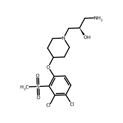 CS(=O)(=O)c1c(OC2CCN(C[C@H](O)CN)CC2)ccc(Cl)c1Cl